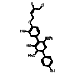 COc1cc(-c2ccc(O)cc2)c(OC)c(O)c1-c1ccc(OC/C=C(/F)CCl)c(O)c1